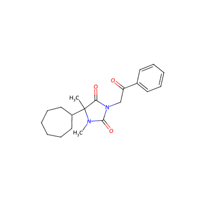 CN1C(=O)N(CC(=O)c2ccccc2)C(=O)C1(C)C1CCCCCC1